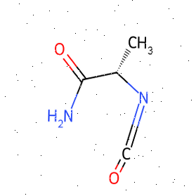 C[C@H](N=C=O)C(N)=O